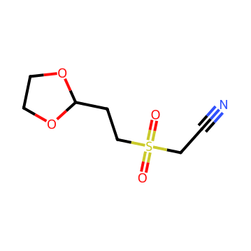 N#CCS(=O)(=O)CCC1OCCO1